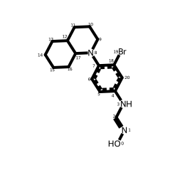 O/N=C/Nc1ccc(N2CCCC3CCCCC32)c(Br)c1